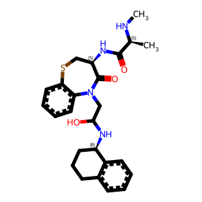 CN[C@@H](C)C(=O)N[C@@H]1CSc2ccccc2N(CC(O)N[C@@H]2CCCc3ccccc32)C1=O